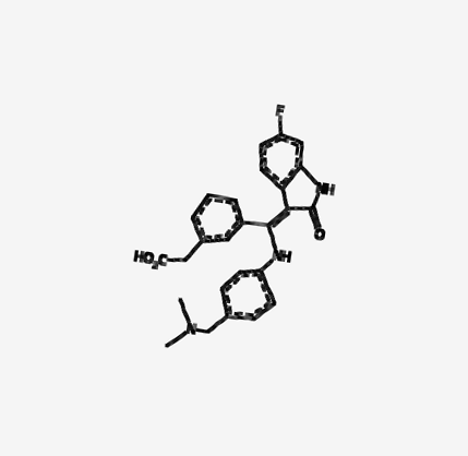 CN(C)Cc1ccc(N/C(=C2\C(=O)Nc3cc(F)ccc32)c2cccc(CC(=O)O)c2)cc1